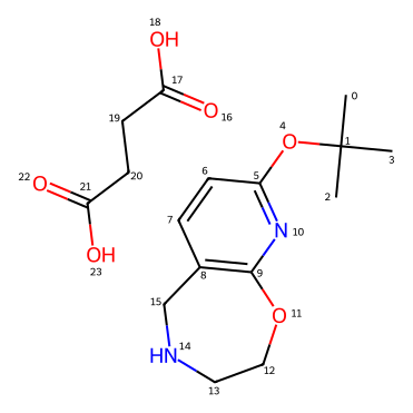 CC(C)(C)Oc1ccc2c(n1)OCCNC2.O=C(O)CCC(=O)O